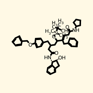 CC(C)(C)[Si](C)(C)OC(CC(CC(=O)N[C@H]1c2ccccc2C[C@H]1O)Cc1ccc(OCc2ccccc2)cc1)/C(=C/CC(=O)NC1CCCC1)Cc1ccccc1